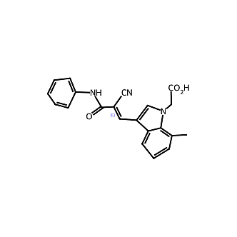 Cc1cccc2c(/C=C(\C#N)C(=O)Nc3ccccc3)cn(CC(=O)O)c12